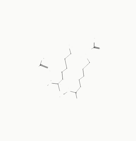 CCCCCCC(C)OO.CCCCCCC(C)OO.O=C(O)O.O=C(O)O